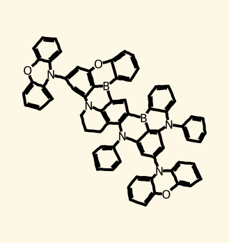 c1ccc(N2c3ccccc3B3c4cc5c6c(c4N(c4ccccc4)c4cc(N7c8ccccc8Oc8ccccc87)cc2c43)CCCN6c2cc(N3c4ccccc4Oc4ccccc43)cc3c2B5c2ccccc2O3)cc1